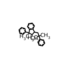 CC1C(CC(C)(C)c2ccccc2)c2ccccc2C1(C)c1ccccc1